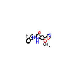 COc1cc2[nH]c(N(C)Cc3ccccc3)cc(=O)c2cc1-c1cnco1